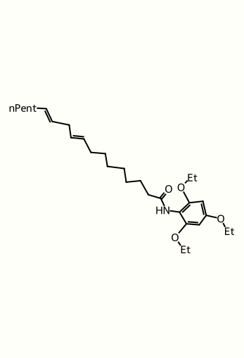 CCCCCC=CCC=CCCCCCCCC(=O)Nc1c(OCC)cc(OCC)cc1OCC